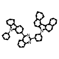 c1ccc(-n2c3ccccc3c3ccc(-c4nc(-c5cccc(-n6c7ccc8ccccc8c7c7c8ccccc8ccc76)c5)nc5ccccc45)cc32)cc1